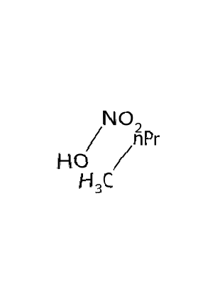 CCCC.O=[N+]([O-])O